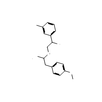 Br.COc1ccc(CC(C)NCC(O)c2cccc(Cl)c2)cc1